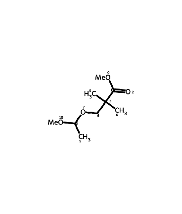 COC(=O)C(C)(C)COC(C)OC